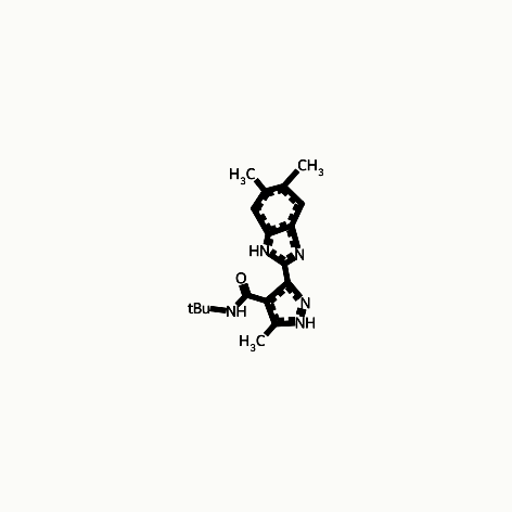 Cc1cc2nc(-c3n[nH]c(C)c3C(=O)NC(C)(C)C)[nH]c2cc1C